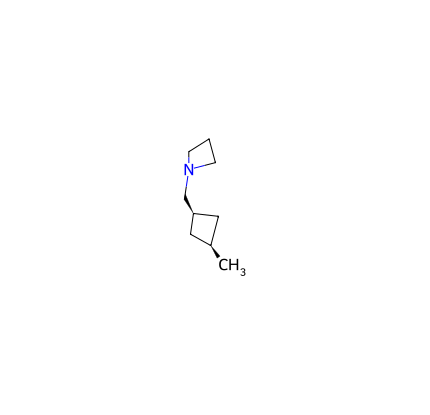 C[C@H]1C[C@@H](CN2CCC2)C1